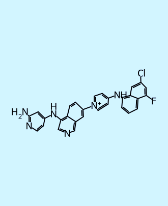 Nc1cc(Nc2cncc3cc(-[n+]4ccc(Nc5cccc6c(F)cc(Cl)cc56)cc4)ccc23)ccn1